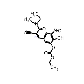 CCOC(=O)Oc1cc(/C=C(/C#N)C(=O)N(CC)CC)cc(N=O)c1O